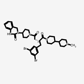 CN1CCC(C2CCN(C(=O)[C@@H](CC(=O)N3CCC(N4Cc5ccccc5NC4=O)CC3)Cc3cc(Br)cc(Br)c3)CC2)CC1